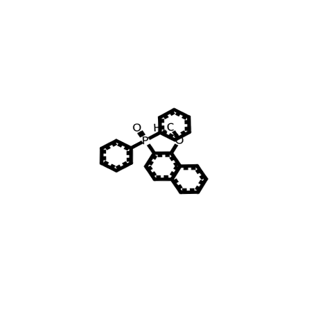 COc1c(P(=O)(c2ccccc2)c2ccccc2)ccc2ccccc12